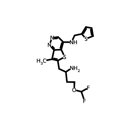 Cc1c(CC(N)CCOC(F)F)sc2c(NCc3cccs3)cnnc12